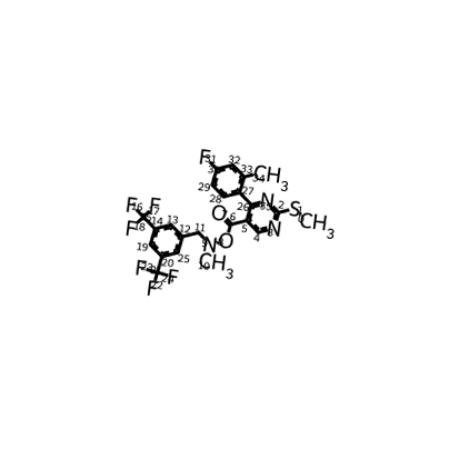 CSc1ncc(C(=O)ON(C)Cc2cc(C(F)(F)F)cc(C(F)(F)F)c2)c(-c2ccc(F)cc2C)n1